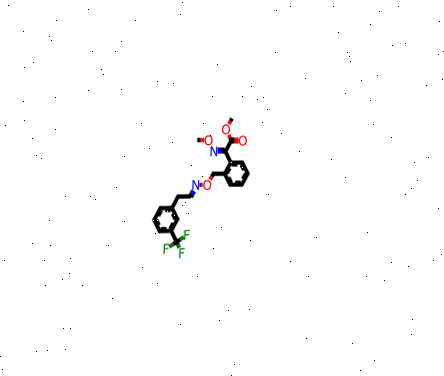 CON=C(C(=O)OC)c1ccccc1CON=CCc1cccc(C(F)(F)F)c1